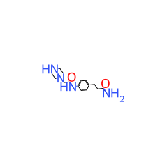 NC(=O)CCc1ccc(NC(=O)CN2CCNCC2)cc1